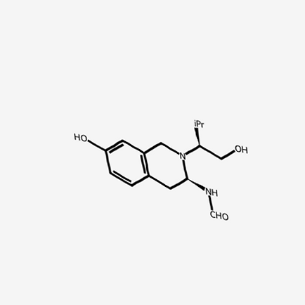 CC(C)[C@@H](CO)N1Cc2cc(O)ccc2C[C@@H]1NC=O